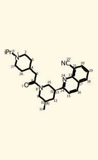 CC(C)N1CCC(CC(=O)N2C[C@H](C)C[C@H](c3ccc4cccc(C#N)c4n3)C2)CC1